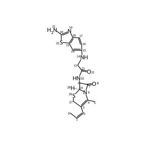 C/C=C\C1=C(C)N2C(=O)C(NC(=O)CNc3ccc4nc(N)sc4c3)[C@@H]2SC1